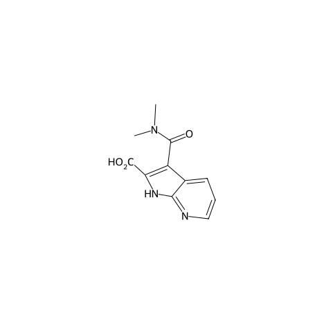 CN(C)C(=O)c1c(C(=O)O)[nH]c2ncccc12